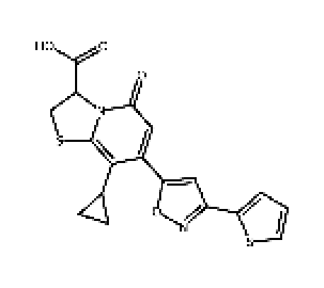 O=C(O)C1CSc2c(C3CC3)c(-c3cc(-c4cccs4)no3)cc(=O)n21